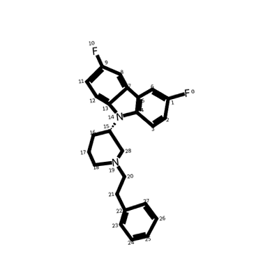 Fc1ccc2c(c1)c1cc(F)ccc1n2[C@H]1CCCN(CCc2ccccc2)C1